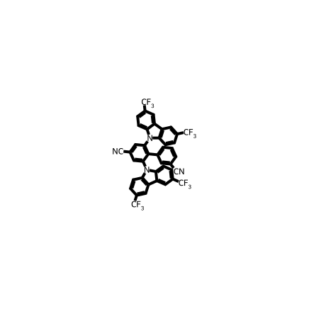 N#Cc1cccc(-c2c(-n3c4ccc(C(F)(F)F)cc4c4cc(C(F)(F)F)ccc43)cc(C#N)cc2-n2c3ccc(C(F)(F)F)cc3c3cc(C(F)(F)F)ccc32)c1